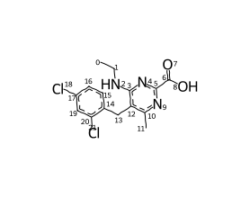 CCNc1nc(C(=O)O)nc(C)c1Cc1ccc(Cl)cc1Cl